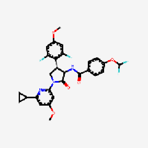 COc1cc(C2CC2)nc(N2C[C@@H](c3c(F)cc(OC)cc3F)C(NC(=O)c3ccc(OC(F)F)cc3)C2=O)c1